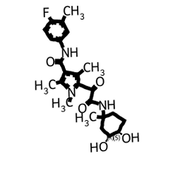 Cc1cc(NC(=O)c2c(C)c(C(=O)C(=O)NC3(C)CC[C@H](O)[C@H](O)C3)n(C)c2C)ccc1F